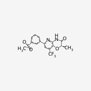 C[C@H]1Oc2c(C(F)(F)F)cc(-c3cccc(S(C)(=O)=O)c3)nc2NC1=O